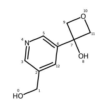 OCc1cncc(C2(O)COC2)c1